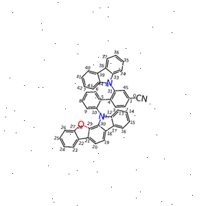 N#Cc1ccc(-c2ccccc2-n2c3ccccc3c3ccc4c5ccccc5oc4c32)c(-n2c3ccccc3c3ccccc32)c1